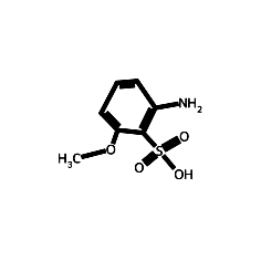 COc1cccc(N)c1S(=O)(=O)O